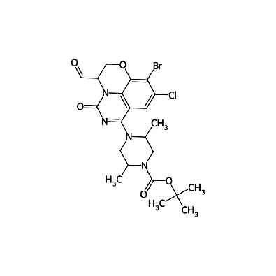 CC1CN(c2nc(=O)n3c4c(c(Br)c(Cl)cc24)OCC3C=O)C(C)CN1C(=O)OC(C)(C)C